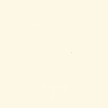 COP(=O)(CCC(C)(C)c1cc(O)c(C(C)(C)C)cc1O)OC